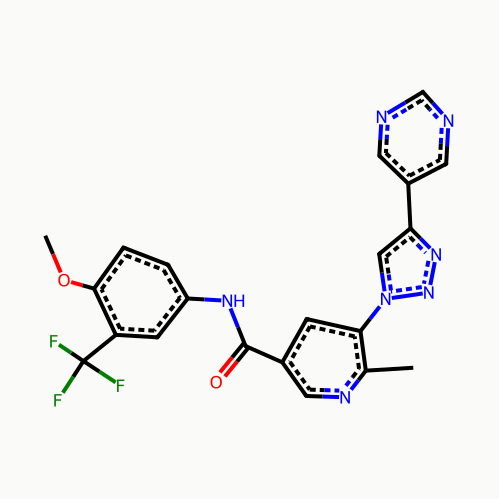 COc1ccc(NC(=O)c2cnc(C)c(-n3cc(-c4cncnc4)nn3)c2)cc1C(F)(F)F